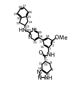 COc1cc(NC(=O)[C@H]2CCc3[nH]nnc3C2)cc(-c2cnc(NC3Cc4ccccc4C3)nc2)c1